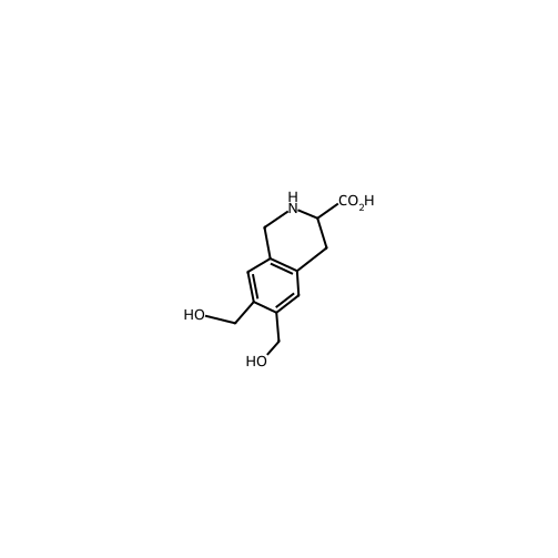 O=C(O)C1Cc2cc(CO)c(CO)cc2CN1